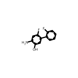 Nc1cc(F)c(-c2ccccc2F)cc1O